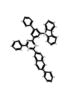 c1ccc(-c2cc(-c3nc(-c4ccccc4)nc(-c4ccc5cc(-c6ccccc6)ccc5c4)n3)cc(-n3c4ccccc4c4ccccc43)c2)cc1